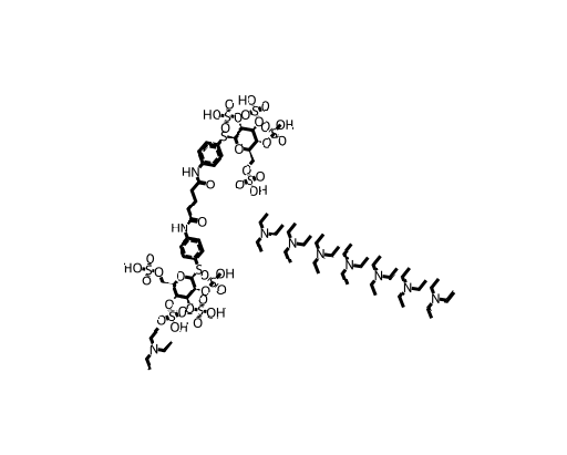 CCN(CC)CC.CCN(CC)CC.CCN(CC)CC.CCN(CC)CC.CCN(CC)CC.CCN(CC)CC.CCN(CC)CC.CCN(CC)CC.O=C(CCCC(=O)Nc1ccc(S[C@@H]2O[C@H](COS(=O)(=O)O)[C@@H](OS(=O)(=O)O)[C@H](OS(=O)(=O)O)[C@H]2OS(=O)(=O)O)cc1)Nc1ccc(S[C@@H]2O[C@H](COS(=O)(=O)O)[C@@H](OS(=O)(=O)O)[C@H](OS(=O)(=O)O)[C@H]2OS(=O)(=O)O)cc1